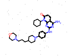 Nc1nc(Nc2ccc(N3CCC(CCCN4CCOCC4)CC3)cc2)nc2c1ccc(=O)n2C1CCCCC1